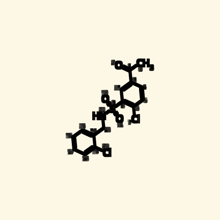 CC(=O)c1ccc(Cl)c(S(=O)(=O)NCc2ccccc2Cl)c1